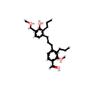 CCCc1c(CCCc2ccc(C(C)=O)c(OC)c2CCC)ccc(COC)c1O